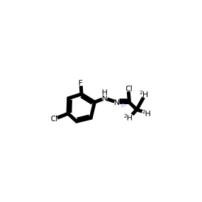 [2H]C([2H])([2H])/C(Cl)=N/Nc1ccc(Cl)cc1F